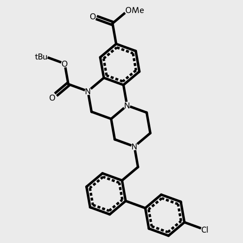 COC(=O)c1ccc2c(c1)N(C(=O)OC(C)(C)C)CC1CN(Cc3ccccc3-c3ccc(Cl)cc3)CCN21